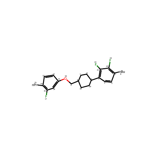 CCCCc1ccc(C2CCC(COc3ccc(CCC)c(F)c3)CC2)c(F)c1F